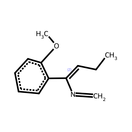 C=N/C(=C\CC)c1ccccc1OC